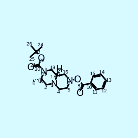 C[C@H]1CN2CCN(OC(=O)c3ccccc3)C[C@H]2CN1C(=O)OC(C)(C)C